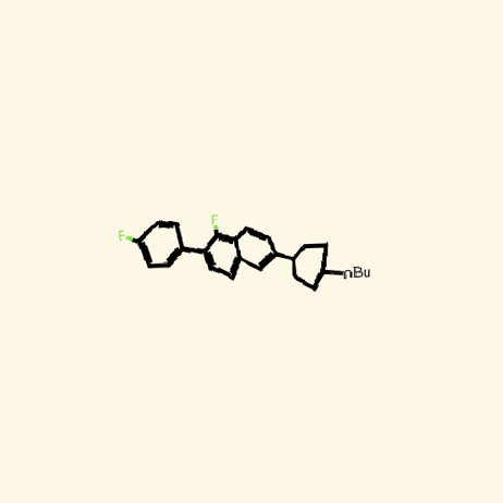 CCCCC1CCC(c2ccc3c(F)c(-c4ccc(F)cc4)ccc3c2)CC1